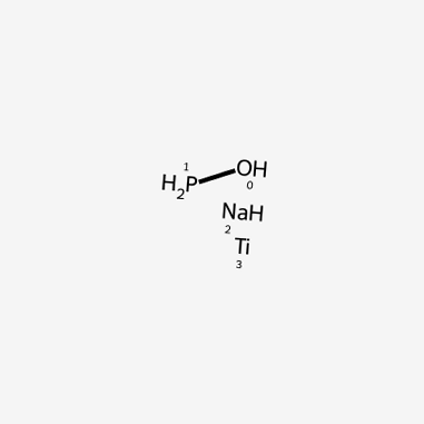 OP.[NaH].[Ti]